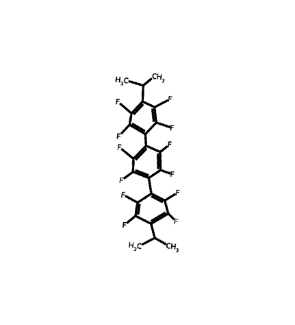 CC(C)c1c(F)c(F)c(-c2c(F)c(F)c(-c3c(F)c(F)c(C(C)C)c(F)c3F)c(F)c2F)c(F)c1F